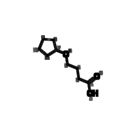 O=C(O)CCCOC1CCCC1